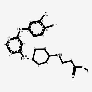 COC(=O)CCN[C@H]1CC[C@H](Nc2cc(Nc3ccc(F)c(Cl)c3)ncn2)CC1